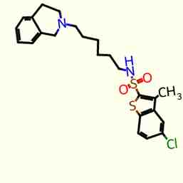 Cc1c(S(=O)(=O)NCCCCCCN2CCc3ccccc3C2)sc2ccc(Cl)cc12